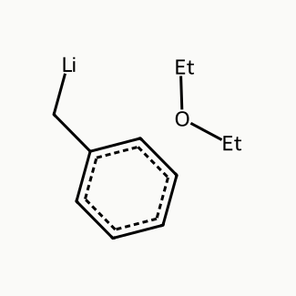 CCOCC.[Li][CH2]c1ccccc1